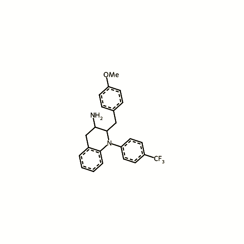 COc1ccc(CC2C(N)Cc3ccccc3N2c2ccc(C(F)(F)F)cc2)cc1